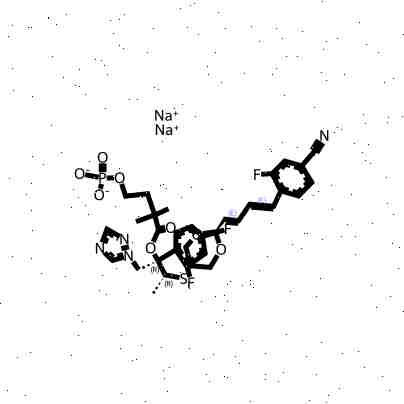 C[C@@H](S[C@H]1CO[C@H](/C=C/C=C/c2ccc(C#N)cc2F)OC1)[C@@](Cn1cncn1)(OC(=O)C(C)(C)CCOP(=O)([O-])[O-])c1ccc(F)cc1F.[Na+].[Na+]